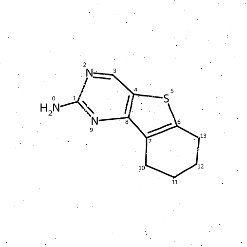 Nc1ncc2sc3c(c2n1)CCCC3